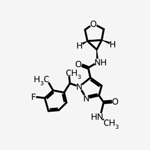 CNC(=O)c1cc(C(=O)N[C@H]2[C@@H]3COC[C@@H]32)n(C(C)c2cccc(F)c2C)n1